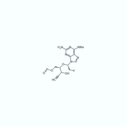 C#CC(O)[C@@H](COP=O)O[C@H](CF)n1cnc2c(NC)nc(N)nc21